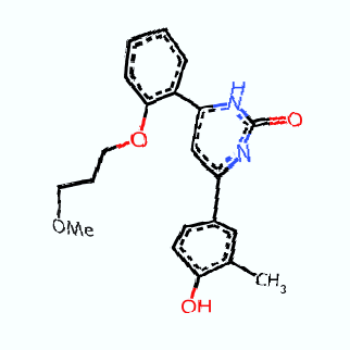 COCCCOc1ccccc1-c1cc(-c2ccc(O)c(C)c2)nc(=O)[nH]1